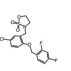 O=S1(=O)OCCN1Cc1cc(Cl)ccc1OCc1ccc(F)cc1F